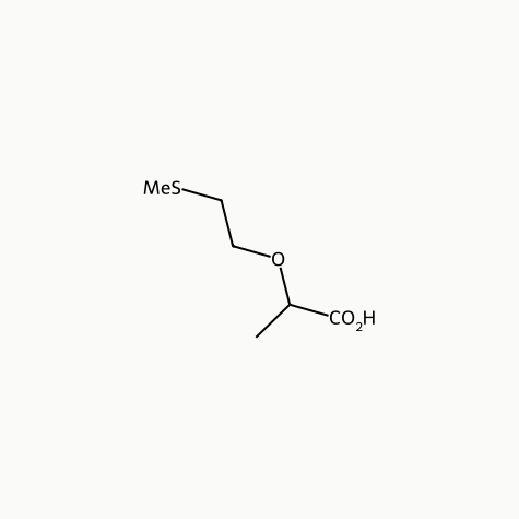 CSCCOC(C)C(=O)O